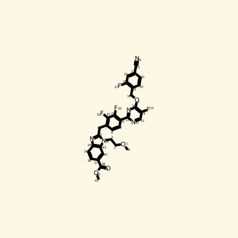 COCCn1c(Cc2ccc(-c3ncc(F)c(OCc4ccc(C#N)cc4F)n3)c(F)c2F)nc2ccc(C(=O)OC)cc21